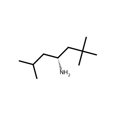 CC(C)C[C@@H](N)CC(C)(C)C